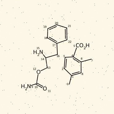 Cc1ccc(C(=O)O)c(C)c1.NC(=O)OCC(N)Cc1ccccc1